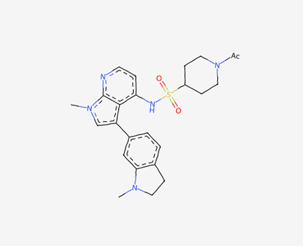 CC(=O)N1CCC(S(=O)(=O)Nc2ccnc3c2c(-c2ccc4c(c2)N(C)CC4)cn3C)CC1